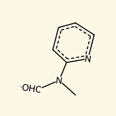 CN([C]=O)c1ccccn1